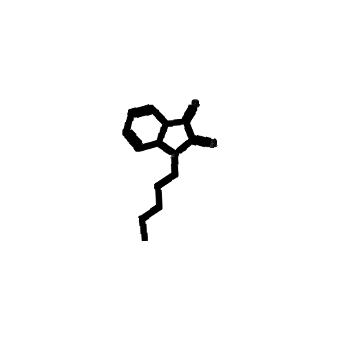 CCCCCN1C(=O)C(=O)C2C=CC=CC21